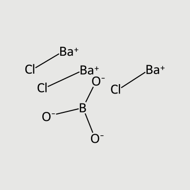 [Cl][Ba+].[Cl][Ba+].[Cl][Ba+].[O-]B([O-])[O-]